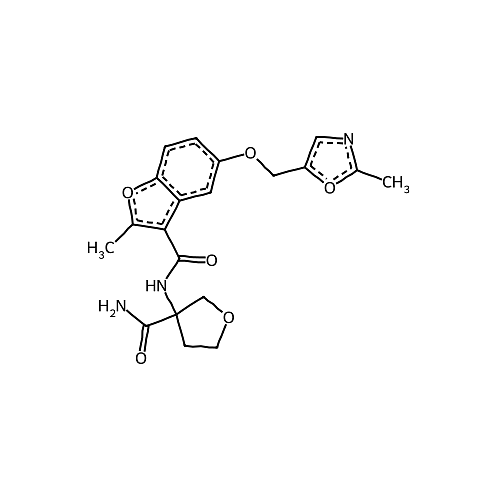 Cc1ncc(COc2ccc3oc(C)c(C(=O)NC4(C(N)=O)CCOC4)c3c2)o1